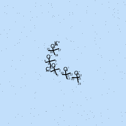 CC(C)(C)[O-].CC(C)(C)[O-].CC(C)(C)[O-].CC(C)(C)[O-].CC(C)(C)[O-].[C+4].[K+]